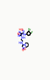 O=[N+]([O-])C=C(NCCNc1nonc1C(=NO)Nc1ccc(F)c(Br)c1)N1CCCCC1